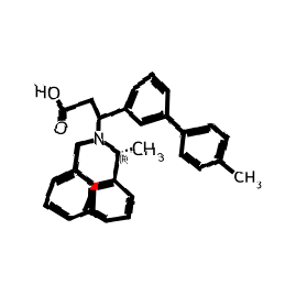 Cc1ccc(-c2cccc(C(CC(=O)O)N(Cc3ccccc3)[C@H](C)c3ccccc3)c2)cc1